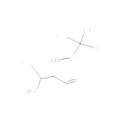 CC(C)[C@@H](C=O)NOC(C)(C)C